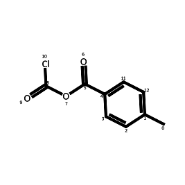 Cc1ccc(C(=O)OC(=O)Cl)cc1